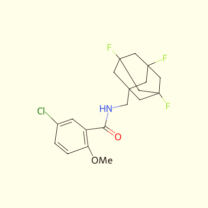 COc1ccc(Cl)cc1C(=O)NCC12CC3(F)CC(F)(CC(F)(C3)C1)C2